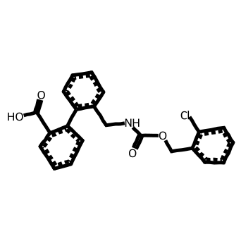 O=C(NCc1ccccc1-c1ccccc1C(=O)O)OCc1ccccc1Cl